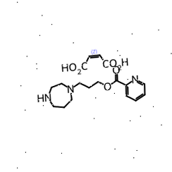 O=C(O)/C=C\C(=O)O.O=C(OCCCN1CCCNCC1)c1ccccn1